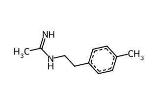 CC(=N)NCCc1ccc(C)cc1